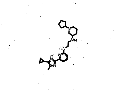 Cc1nc(-c2cccc(NCCNC3CCCN(C4CCCC4)C3)n2)[nH]c1C1CC1